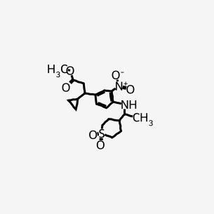 COC(=O)CC(c1ccc(NC(C)C2CCS(=O)(=O)CC2)c([N+](=O)[O-])c1)C1CC1